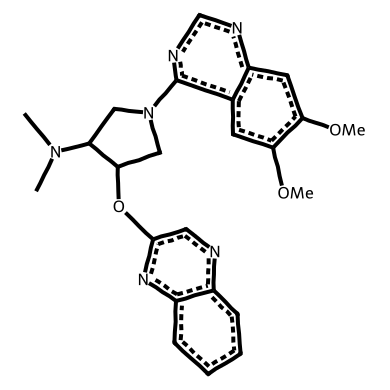 COc1cc2ncnc(N3CC(Oc4cnc5ccccc5n4)C(N(C)C)C3)c2cc1OC